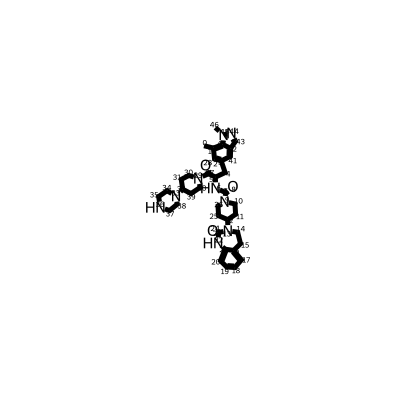 Cc1cc(CC(NC(=O)N2CCC(N3CCc4ccccc4NC3=O)CC2)C(=O)N2CCC(N3CCNCC3)CC2)cc2cnn(C)c12